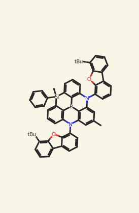 Cc1cc2c3c(c1)N(c1cccc4c1oc1c(C(C)(C)C)cccc14)c1cccc4c1B3c1c(cccc1[Si]4(C)c1ccccc1)N2c1cccc2c1oc1c(C(C)(C)C)cccc12